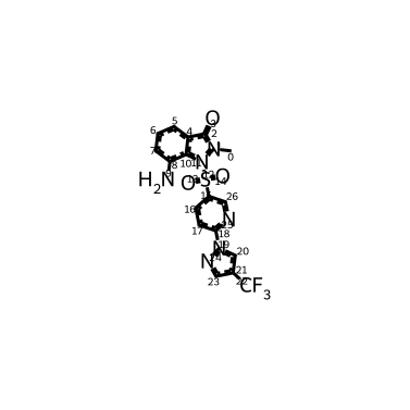 Cn1c(=O)c2cccc(N)c2n1S(=O)(=O)c1ccc(-n2cc(C(F)(F)F)cn2)nc1